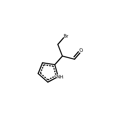 O=CC(CBr)c1ccc[nH]1